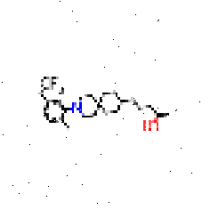 C=C(O)CCCC1CCC2(CC1)CCN(c1cc(CC(F)(F)F)ccc1C)CC2